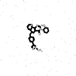 Cn1cc(-c2ccc(Cc3cc4c(=O)n([C@H]5CCCC[C@@H]5O)cnc4c4ncccc34)cc2)cn1